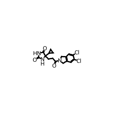 O=C1NC(=O)C(CCC(=O)N2Cc3cc(Cl)c(Cl)cc3C2)(C2CC2)N1